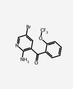 Nc1ncc(Br)cc1C(=O)c1ccccc1OC(F)(F)F